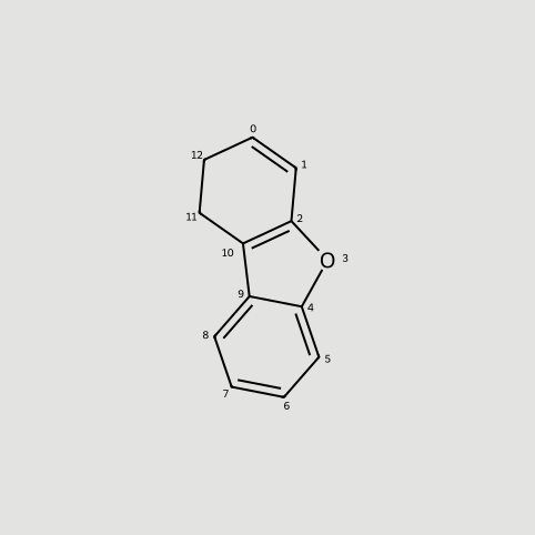 C1=Cc2oc3ccccc3c2CC1